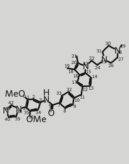 COc1cc(NC(=O)c2ccc(Cc3ccc4c(c3)c(C)c(C)n4CCN3CCN(C)CC3)cc2)cc(OC)c1-n1ccnc1